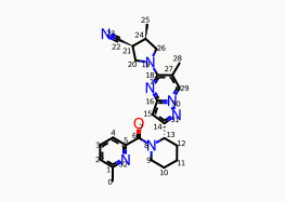 Cc1cccc(C(=O)N2CCCC[C@H]2c2cc3nc(N4C[C@@H](C#N)[C@@H](C)C4)c(C)cn3n2)n1